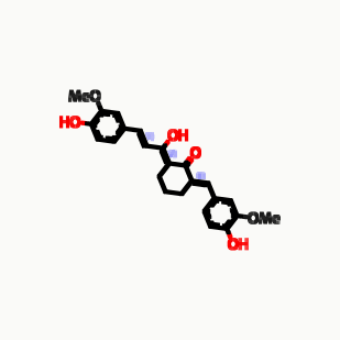 COc1cc(/C=C/C(O)=C2\CCC/C(=C\c3ccc(O)c(OC)c3)C2=O)ccc1O